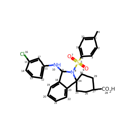 Cc1ccc(S(=O)(=O)N2C(Nc3cccc(Cl)c3)c3ccccc3C23CCC(C(=O)O)CC3)cc1